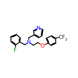 Fc1ccccc1CN(CCOc1ccc(C(F)(F)F)cc1)Cc1cccnc1